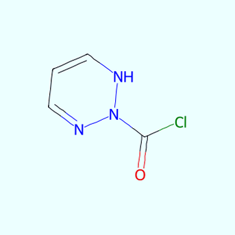 O=C(Cl)N1N=CC=CN1